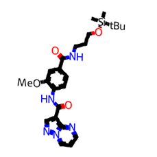 COc1cc(C(=O)NCCCO[Si](C)(C)C(C)(C)C)ccc1NC(=O)c1cnn2cccnc12